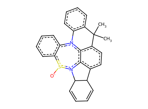 CC1(C)c2ccccc2-n2c3ccccc3[s+]([O-])n3c4c(ccc1c42)C1C=CC=CC13